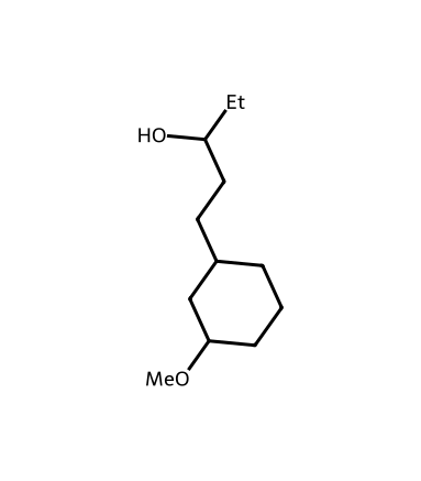 CCC(O)CCC1CCCC(OC)C1